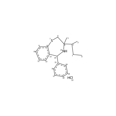 CCC(C)C1(C)CSc2ccccc2C(c2ccccc2)N1.Cl